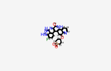 Nc1c(-c2ccc(F)c3[nH]ncc23)c2cc(OC3CCS(=O)(=O)CC3)c3ncccc3c2[nH]c1=O